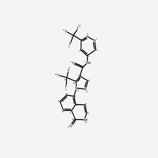 O=C(Nc1cnnc(C(F)(F)F)c1)c1cnn(-c2cccc3c(=O)[nH]ccc23)c1C(F)(F)F